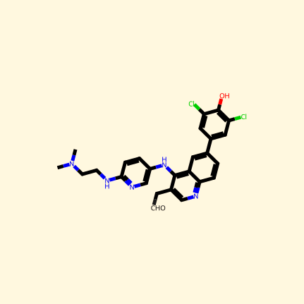 CN(C)CCNc1ccc(Nc2c(CC=O)cnc3ccc(-c4cc(Cl)c(O)c(Cl)c4)cc23)cn1